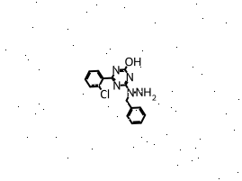 NN(Cc1ccccc1)c1nc(O)nc(-c2ccccc2Cl)n1